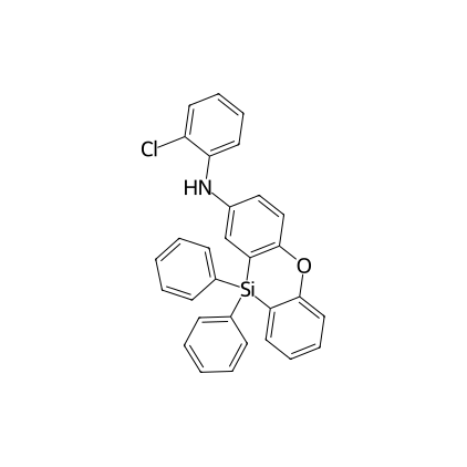 Clc1ccccc1Nc1ccc2c(c1)[Si](c1ccccc1)(c1ccccc1)c1ccccc1O2